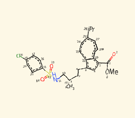 COC(=O)c1cc(CC[C@H](C)CNS(=O)(=O)c2ccc(Cl)cc2)c2ccc(C(C)C)ccc1-2